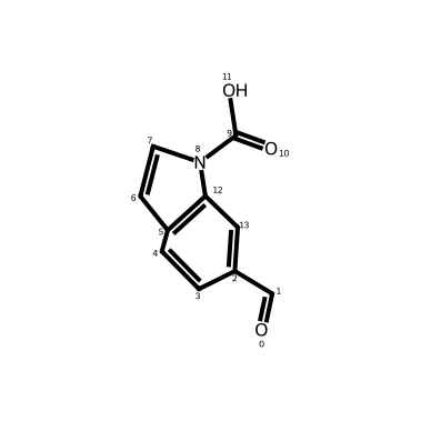 O=Cc1ccc2ccn(C(=O)O)c2c1